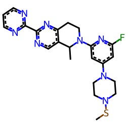 CSN1CCN(c2cc(F)nc(N3CCc4nc(-c5ncccn5)ncc4C3C)c2)CC1